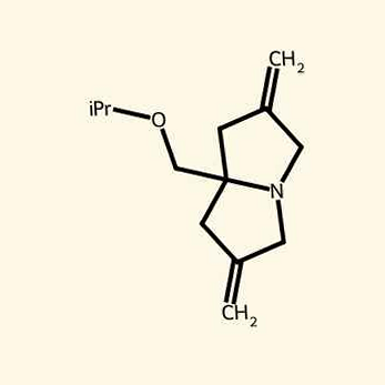 C=C1CN2CC(=C)CC2(COC(C)C)C1